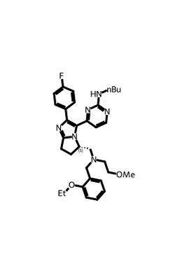 CCCCNc1nccc(-c2c(-c3ccc(F)cc3)nc3n2[C@H](CN(CCOC)Cc2ccccc2OCC)CC3)n1